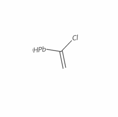 C=[C](Cl)[PbH]